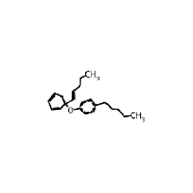 CCCC=CC1(Oc2ccc(CCCCC)cc2)C=CC=CC1